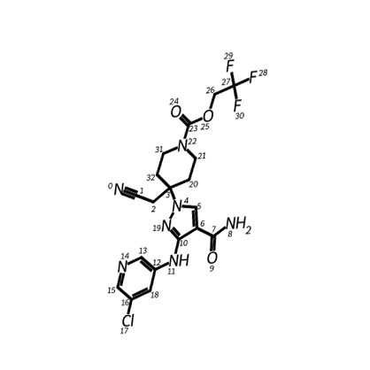 N#CCC1(n2cc(C(N)=O)c(Nc3cncc(Cl)c3)n2)CCN(C(=O)OCC(F)(F)F)CC1